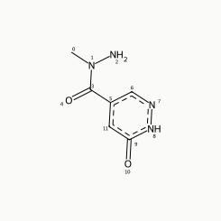 CN(N)C(=O)c1cn[nH]c(=O)c1